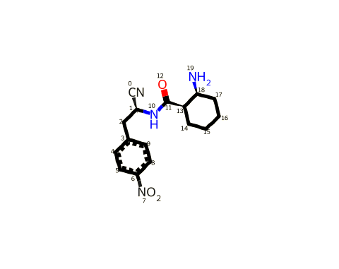 N#C[C@H](Cc1ccc([N+](=O)[O-])cc1)NC(=O)[C@@H]1CCCC[C@@H]1N